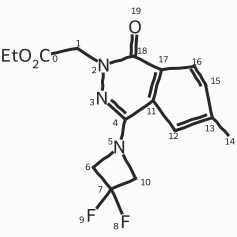 CCOC(=O)Cn1nc(N2CC(F)(F)C2)c2cc(C)ccc2c1=O